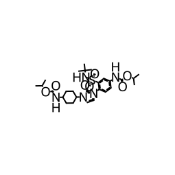 CC(C)OC(=O)Nc1ccc(-n2ccn(C3CCC(NC(=O)OC(C)C)CC3)c2=O)c(S(=O)(=O)NC(C)(C)C)c1